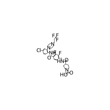 O=C(Nc1ccc(Cl)cc1N1CCN(CCC(F)(F)F)CC1)c1ccc(CNC(=O)C2CCN(C(=O)O)CC2)c(F)c1F